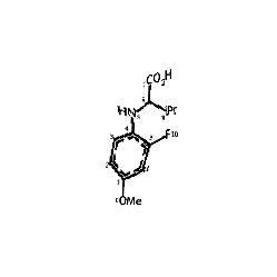 COc1ccc(NC(C(=O)O)C(C)C)c(F)c1